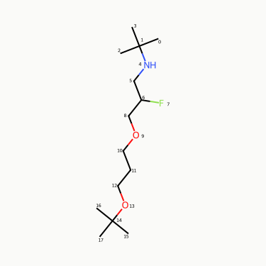 CC(C)(C)NCC(F)COCCCOC(C)(C)C